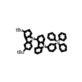 CC(C)(C)c1ccc2c(c1)c1cc(C(C)(C)C)ccc1n2-c1cccc2c1c1ccccc1n2-c1cccc([Si](c2ccccc2)(c2ccccc2)c2ccccc2)c1